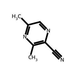 Cc1cnc(C#N)c(C)n1